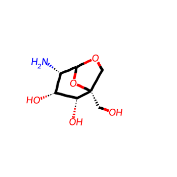 N[C@@H]1C2OC[C@](CO)(O2)[C@H](O)[C@@H]1O